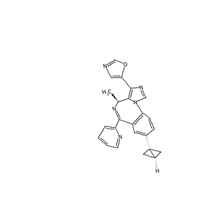 C[C@@H]1N=C(c2ccccn2)c2cc([C@]34C[C@H]3C4)ccc2-n2cnc(-c3cnco3)c21